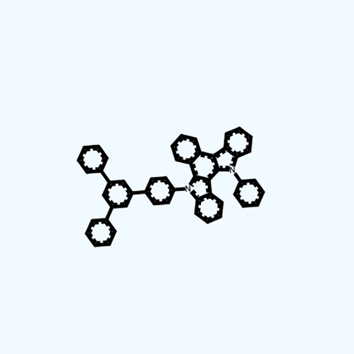 c1ccc(-c2cc(-c3ccccc3)cc(-c3ccc(-n4c5ccccc5c5c4c4ccccc4c4c6ccccc6n(-c6ccccc6)c45)cc3)c2)cc1